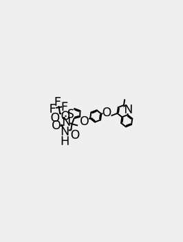 Cc1cc(COc2ccc(Oc3ccsc3C3(C)C(=O)NC(=O)N3OC(=O)C(F)(F)F)cc2)c2ccccc2n1